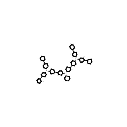 c1ccc(-c2ccc(N(c3ccc(-c4ccccc4)cc3)c3ccc(-c4ccc(N(c5ccccc5)c5ccc(-c6ccc(N(c7ccc(-c8ccccc8)cc7)c7ccc(-c8ccccc8)cc7)cc6)cc5)cc4)cc3)cc2)cc1